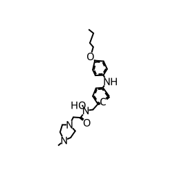 CCCCOc1ccc(Nc2ccc(CN(O)C(=O)CN3CCN(C)CC3)cc2)cc1